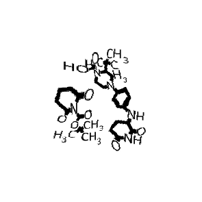 CC(C)(C)C1CN(c2ccc(NC3CCC(=O)NC3=O)cc2)CCN1C(=O)O.CC(C)(C)OC(=O)N1C(=O)CCCC1=O